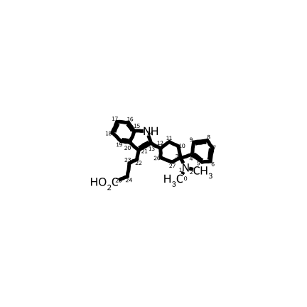 CN(C)C1(c2ccccc2)CCC(c2[nH]c3ccccc3c2CCCC(=O)O)CC1